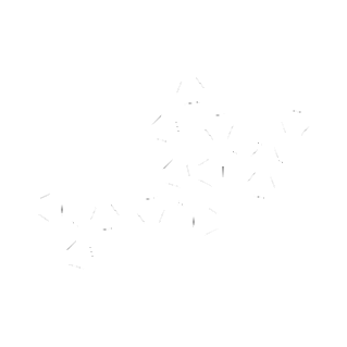 c1ccc(-c2nc(-n3c4ccccc4c4cc(-c5cccc6oc7ccc(-c8ccc9c(c8)c8cc(-c%10ccc%11c(c%10)c%10ccccc%10n%11-c%10ccccc%10)ccc8n9-c8ccccc8)cc7c56)ccc43)c3ccccc3n2)cc1